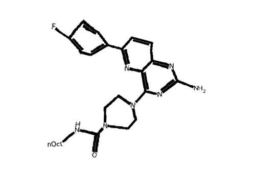 CCCCCCCCNC(=O)N1CCN(c2nc(N)nc3ccc(-c4ccc(F)cc4)nc23)CC1